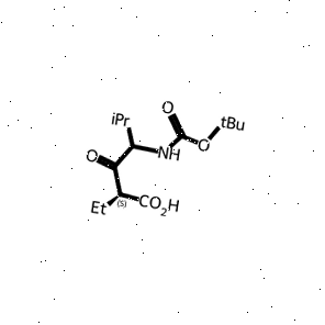 CC[C@H](C(=O)O)C(=O)C(NC(=O)OC(C)(C)C)C(C)C